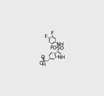 O=[SH](=O)Cc1ccc2c(S(=O)(=O)Nc3cc(F)c(F)cc3F)c[nH]c2c1